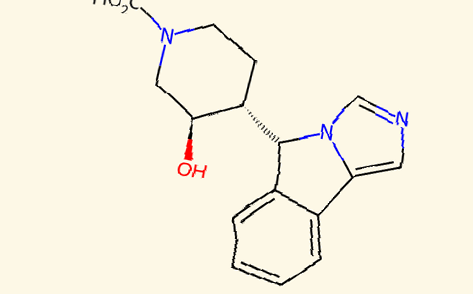 O=C(O)N1CC[C@H](C2c3ccccc3-c3cncn32)[C@@H](O)C1